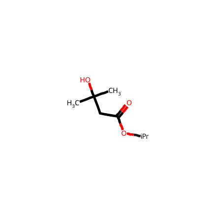 CC(C)OC(=O)CC(C)(C)O